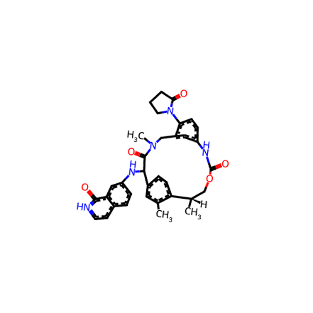 Cc1cc2ccc1[C@@H](C)COC(=O)Nc1ccc(N3CCCC3=O)c(c1)CN(C)C(=O)C2Nc1ccc2cc[nH]c(=O)c2c1